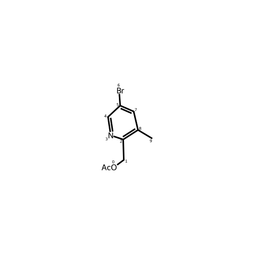 CC(=O)OCc1ncc(Br)cc1C